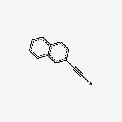 BrC#Cc1ccc2ccccc2c1